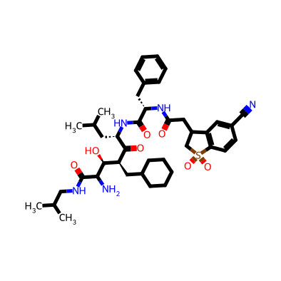 CC(C)CNC(=O)C(N)[C@@H](O)[C@H](CC1CCCCC1)C(=O)[C@H](CC(C)C)NC(=O)[C@H](Cc1ccccc1)NC(=O)CC1CS(=O)(=O)c2ccc(C#N)cc21